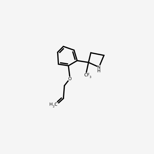 C=CCOc1ccccc1C1(C(F)(F)F)CCN1